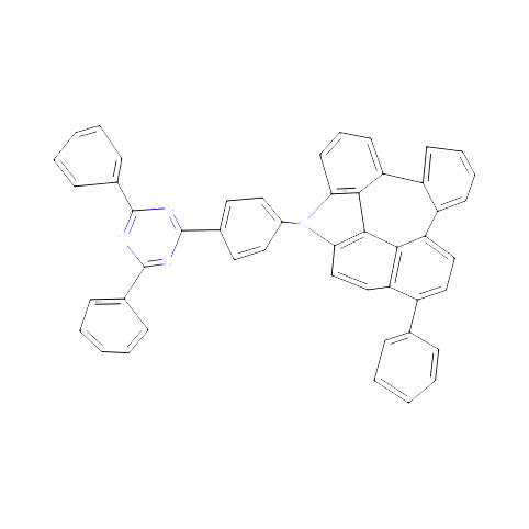 c1ccc(-c2nc(-c3ccccc3)nc(-c3ccc(-n4c5cccc6c5c5c7c(ccc(-c8ccccc8)c7ccc54)-c4ccccc4-6)cc3)n2)cc1